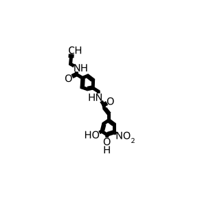 C#CCNC(=O)c1ccc(CNC(=O)/C=C/c2cc(O)c(O)c([N+](=O)[O-])c2)cc1